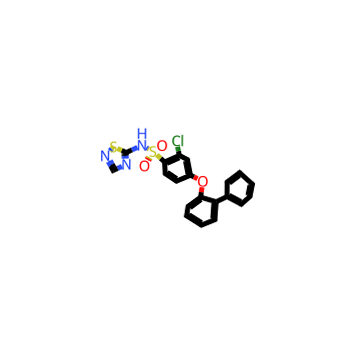 O=S(=O)(Nc1ncns1)c1ccc(Oc2ccccc2-c2ccccc2)cc1Cl